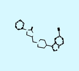 N#Cc1ccc2[nH]cc(C3CCN(CC4CN(c5ccccc5)C(=O)O4)CC3)c2c1